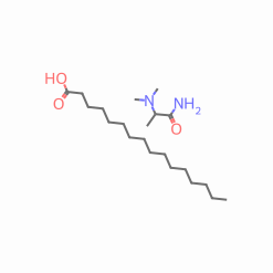 CC(C(N)=O)N(C)C.CCCCCCCCCCCCCCCC(=O)O